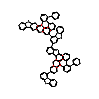 c1ccc(-c2ccccc2-c2c(-c3ccccc3)cccc2N(c2ccc(-c3cc(-c4cccc5c4sc4ccc(N(c6ccc(-c7cccc8sc9ccccc9c78)cc6)c6cccc(-c7ccccc7)c6-c6ccccc6-c6ccccc6)cc45)cc4sc5ccccc5c34)cc2)c2ccc3c(c2)sc2ccccc23)cc1